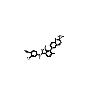 CNc1ncc2cc(-c3c(C)ccc4c(Nc5ccc(C#N)c(Cl)c5)nn(C)c34)ccc2n1